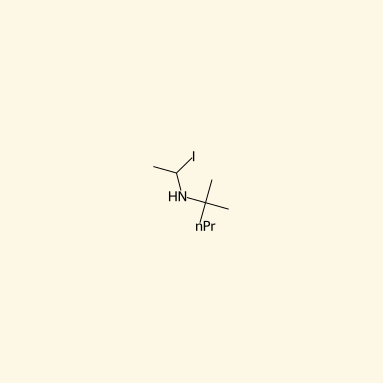 CCCC(C)(C)NC(C)I